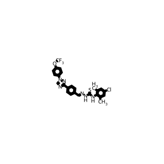 Cc1cc(Cl)cc(C)c1NC(=S)N/N=C/c1ccc(-c2ncn(-c3ccc(OC(F)(F)F)cc3)n2)cc1